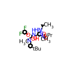 CC(C)S(=O)(=O)N(C)c1cc(C(=O)N[C@@H](COc2cc(F)cc(F)c2)[C@H](O)CN(C)Cc2cccc(C(C)(C)C)c2)cc(NC[C@H]2C[C@@H]2C)n1